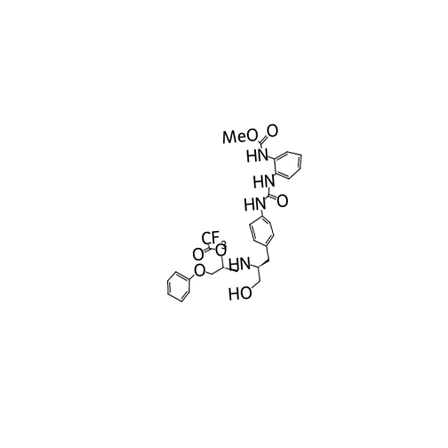 COC(=O)Nc1ccccc1NC(=O)Nc1ccc(C[C@@H](CO)NC[C@@H](COc2ccccc2)OC(=O)C(F)(F)F)cc1